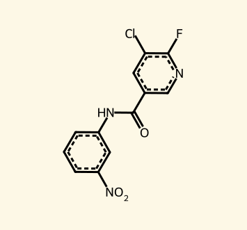 O=C(Nc1cccc([N+](=O)[O-])c1)c1cnc(F)c(Cl)c1